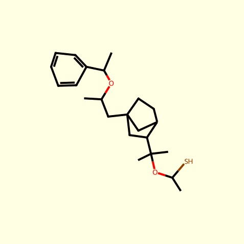 CC(S)OC(C)(C)C1CC2(CC(C)OC(C)c3ccccc3)CCC1C2